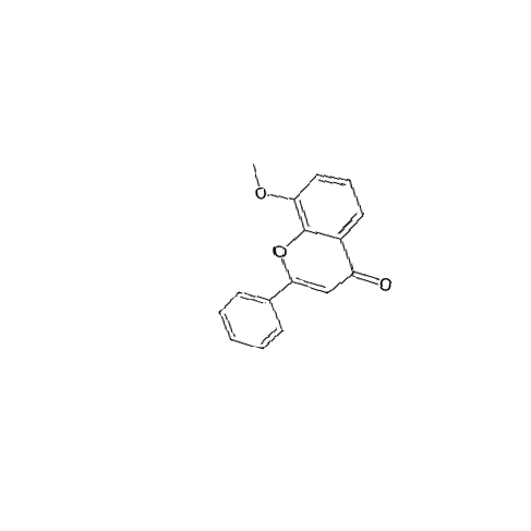 COc1cccc2c(=O)cc(-c3ccccc3)oc12